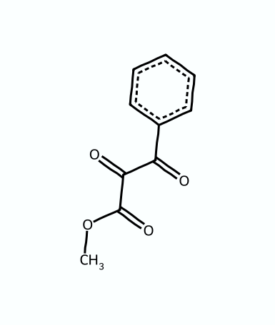 COC(=O)C(=O)C(=O)c1ccccc1